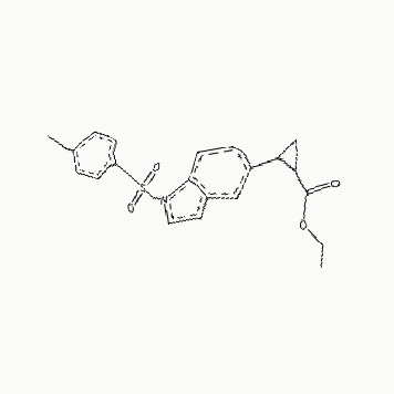 CCOC(=O)C1CC1c1ccc2c(ccn2S(=O)(=O)c2ccc(C)cc2)c1